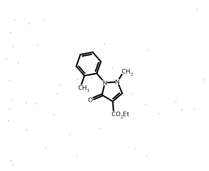 CCOC(=O)c1cn(C)n(-c2ccccc2C)c1=O